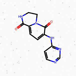 O=C1NCCn2c1ccc(Nc1ccncn1)c2=O